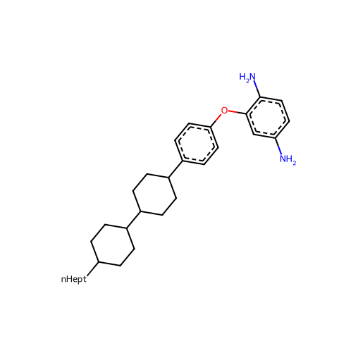 CCCCCCCC1CCC(C2CCC(c3ccc(Oc4cc(N)ccc4N)cc3)CC2)CC1